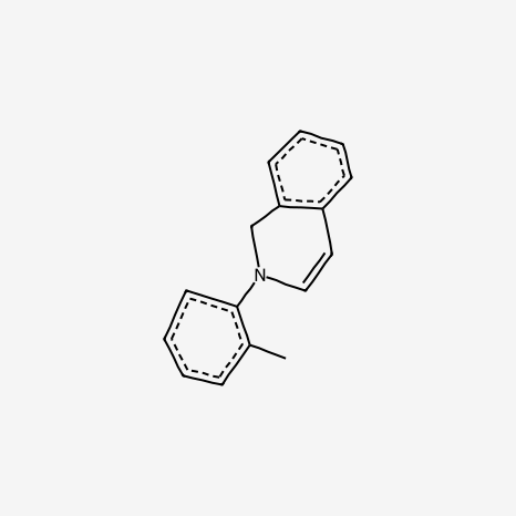 Cc1ccccc1N1C=Cc2ccccc2C1